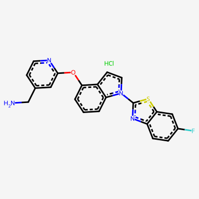 Cl.NCc1ccnc(Oc2cccc3c2ccn3-c2nc3ccc(F)cc3s2)c1